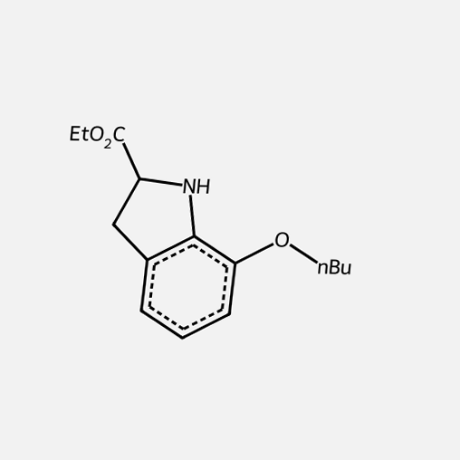 CCCCOc1cccc2c1NC(C(=O)OCC)C2